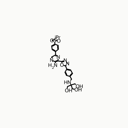 CC(C)S(=O)(=O)c1ccc(-c2cnc(N)c(-c3nnc(-c4ccc(CNC(CO)(CO)CO)cc4)o3)n2)cc1